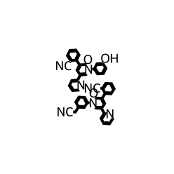 N#CCc1cccc(-n2cc(-c3ccccn3)cc(-c3ccccc3C#N)c2=O)c1.N#Cc1ccccc1-c1cc(-c2ccccn2)cn(-c2cccc(O)c2)c1=O